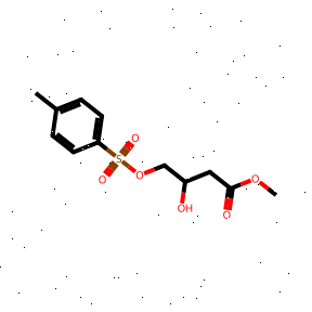 COC(=O)CC(O)COS(=O)(=O)c1ccc(C)cc1